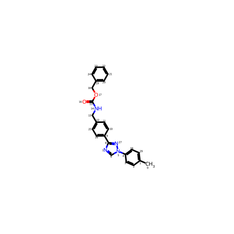 Cc1ccc(-n2cnc(-c3ccc(CNC(=O)OCc4ccccc4)cc3)n2)cc1